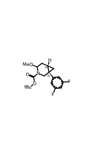 COC1C[C@@H]2C[C@]2(c2cc(F)cc(F)c2)CN1C(=O)OC(C)(C)C